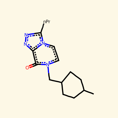 CCCc1nnc2c(=O)n(CC3CCC(C)CC3)ccn12